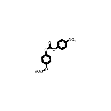 CCCCCCCCOc1ccc(OC(=O)Oc2ccc([N+](=O)[O-])cc2)cc1